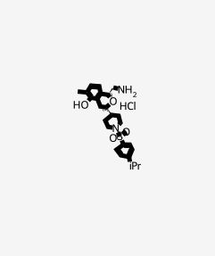 Cc1ccc2c(c1O)C[C@@H](C1CCN(S(=O)(=O)c3ccc(C(C)C)cc3)CC1)O[C@H]2CN.Cl